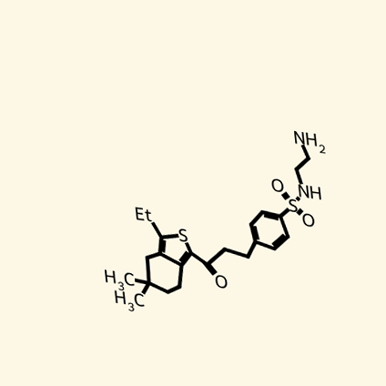 CCc1sc(C(=O)CCc2ccc(S(=O)(=O)NCCN)cc2)c2c1CC(C)(C)CC2